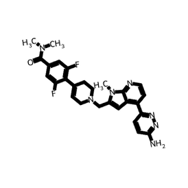 CN(C)C(=O)c1cc(F)c(C2=CCN(Cc3cc4c(-c5ccc(N)nn5)ccnc4n3C)CC2)c(F)c1